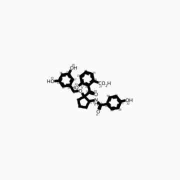 O=C(NC1CCCC1(OCc1cc(O)cc(O)c1)C(=O)c1c(O)cccc1C(=O)O)c1ccc(O)cc1